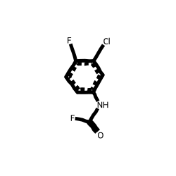 O=C(F)Nc1ccc(F)c(Cl)c1